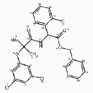 CCCCC(C)(Oc1cc(Cl)cc(Cl)c1)C(=O)NC(C(=O)OCc1ccccc1)c1ccccc1Cl